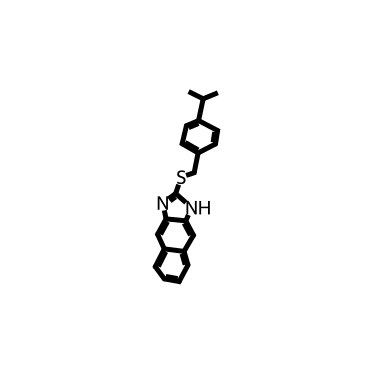 CC(C)c1ccc(CSc2nc3cc4ccccc4cc3[nH]2)cc1